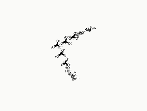 O=C([O-])[O-].O=C([O-])[O-].O=C([O-])[O-].O=C([O-])[O-].O=C([O-])[O-].[Fe+3].[Fe+3].[Fe+3].[Mg+2].[Mg+2].[Mg+2].[OH-].[OH-].[OH-].[OH-].[OH-]